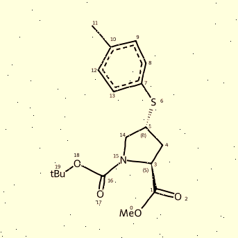 COC(=O)[C@@H]1C[C@@H](Sc2ccc(C)cc2)CN1C(=O)OC(C)(C)C